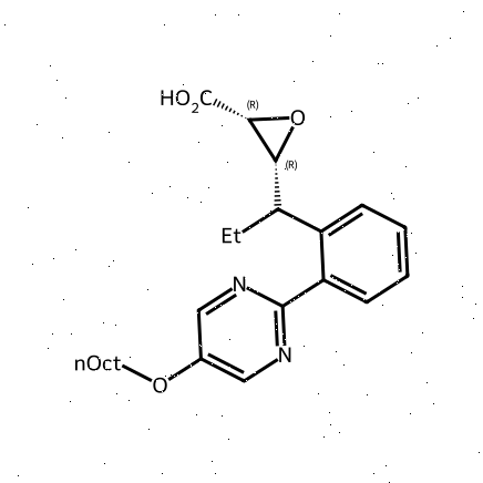 CCCCCCCCOc1cnc(-c2ccccc2C(CC)[C@H]2O[C@H]2C(=O)O)nc1